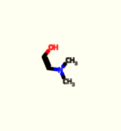 CN(C)/C=C\O